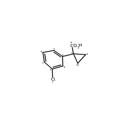 O=C(O)C1(c2cccc(Cl)c2)CC1